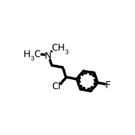 CN(C)CCC(Cl)c1ccc(F)cc1